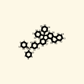 c1ccc(N(c2ccccc2)c2ccc(-c3ccc4c(c3)C(c3ccccc3)(c3ccccc3)c3ccc5c(ccc6ccccc65)c3-4)cc2)cc1